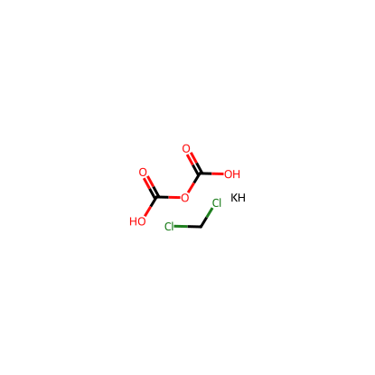 ClCCl.O=C(O)OC(=O)O.[KH]